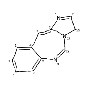 C1=NC2=Cc3ccccc3N=CN2C1